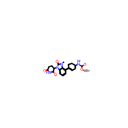 Cn1c(=O)n(C2CCC(=O)NC2=O)c2cccc(C3=CCC(NC(=O)OC(C)(C)C)CC3)c21